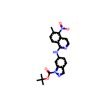 Cc1ccc2c(Nc3ccc4cnn(C(=O)OC(C)(C)C)c4c3)nccc2c1[N+](=O)[O-]